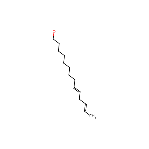 CC=CCC=CCCCCCCCC[O]